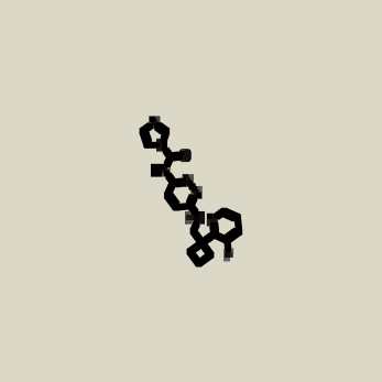 O=C(Nc1ccc(NCC2(c3ncccc3F)CCC2)nn1)n1ccnc1